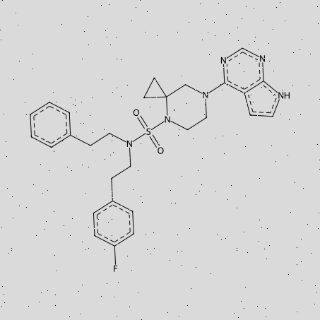 O=S(=O)(N(CCc1ccccc1)CCc1ccc(F)cc1)N1CCN(c2ncnc3[nH]ccc23)CC12CC2